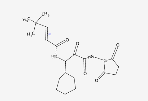 CC(C)(C)/C=C/C(=O)NC(C(=O)C(=O)NN1C(=O)CCC1=O)C1CCCCC1